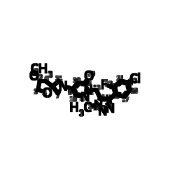 COC1COC2(C1)CN(c1cnn(Cc3c(-c4ccc(Cl)cc4F)nnn3C)c(=O)c1)C2